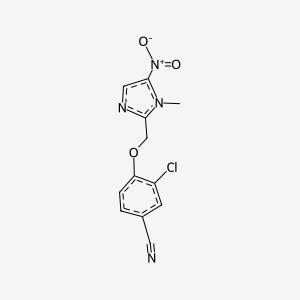 Cn1c([N+](=O)[O-])cnc1COc1ccc(C#N)cc1Cl